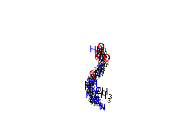 CC(C)Nc1cc(-c2ccc3cc(C#N)cnn23)ncc1-c1nnc(N2CCN(C(=O)CN3CCC4(CC3)CN(c3ccc5c(c3)C(=O)N(C3CCC(=O)NC3=O)C5=O)C4)CC2)s1